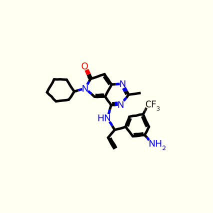 C=CC(Nc1nc(C)nc2cc(=O)n(C3CCCCC3)cc12)c1cc(N)cc(C(F)(F)F)c1